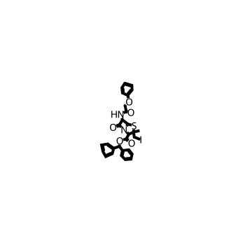 CC1(CI)SC2C(NC(=O)COc3ccccc3)C(=O)N2C1C(=O)OC(c1ccccc1)c1ccccc1